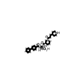 C[C@](NC(=O)c1ccc(-c2ccccc2)cc1)(NC(=O)[C@@H]1CCCN(C(=O)CCC2CCNCC2)C1)C(=O)O.Cl